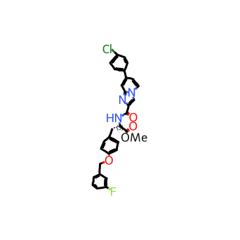 COC(=O)[C@H](Cc1ccc(OCc2cccc(F)c2)cc1)NC(=O)c1cn2ccc(-c3ccc(Cl)cc3)cc2n1